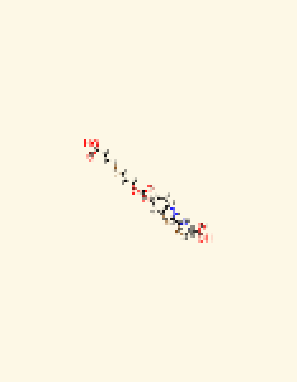 O=C(O)CCCSCCCOC(=O)Oc1ccc2nc(C3=N[C@@H](C(=O)O)CS3)sc2c1